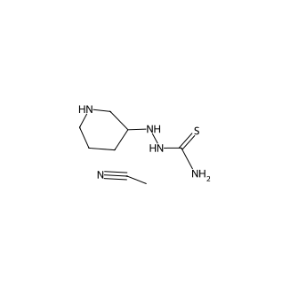 CC#N.NC(=S)NNC1CCCNC1